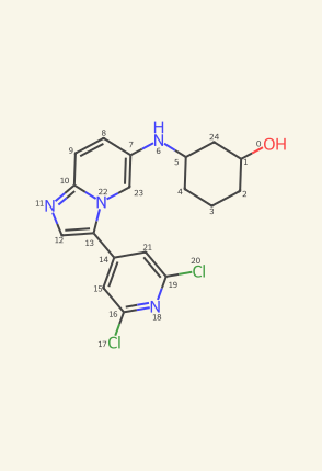 OC1CCCC(Nc2ccc3ncc(-c4cc(Cl)nc(Cl)c4)n3c2)C1